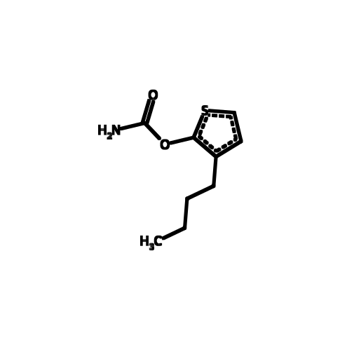 CCCCc1ccsc1OC(N)=O